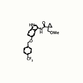 COCC1(C(=O)Nc2c[nH]c3ccc(OCc4ccc(C(F)(F)F)cc4)cc23)CC1